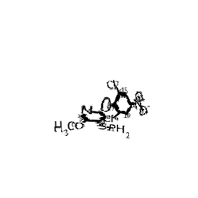 COc1cnc(Oc2c(Cl)cc([N+](=O)[O-])cc2Cl)cc1SP